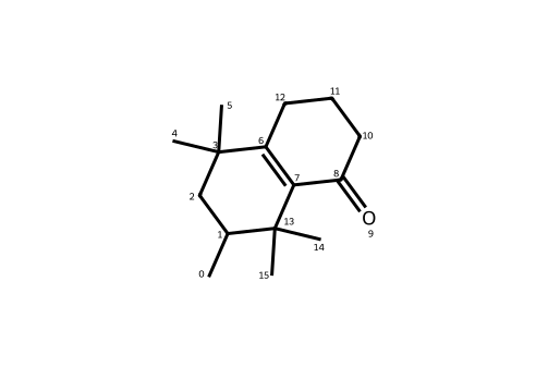 CC1CC(C)(C)C2=C(C(=O)CCC2)C1(C)C